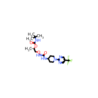 C[C@@H](CONC(=O)NC1CCN(c2ncc(C(F)(F)F)cn2)CC1)OC(=O)NC(C)(C)C